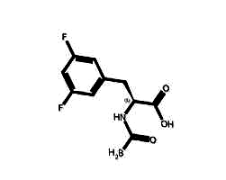 BC(=O)N[C@@H](Cc1cc(F)cc(F)c1)C(=O)O